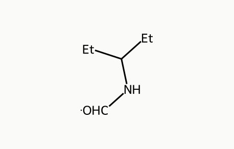 CCC(CC)N[C]=O